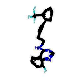 Fc1cccc2c(NCCC#Cc3ccccc3C(F)(F)F)ncnc12